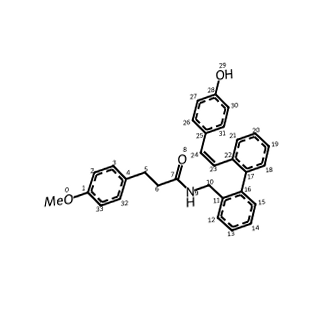 COc1ccc(CCC(=O)NCc2ccccc2-c2ccccc2C=Cc2ccc(O)cc2)cc1